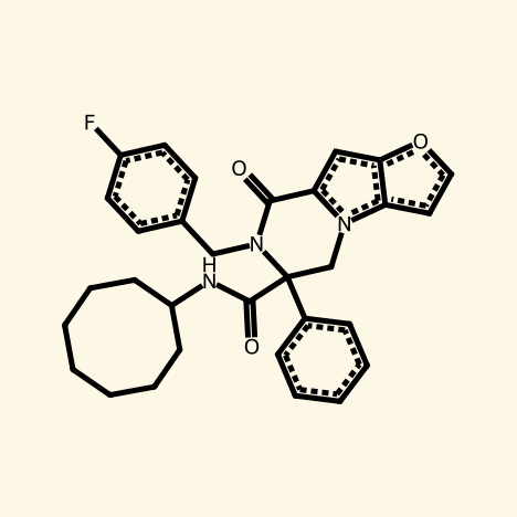 O=C1c2cc3occc3n2CC(C(=O)NC2CCCCCCC2)(c2ccccc2)N1Cc1ccc(F)cc1